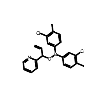 C=CC(OB(c1ccc(C)c(Cl)c1)c1ccc(C)c(Cl)c1)c1ccccn1